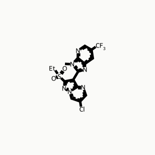 CCS(=O)(=O)c1nn2cc(Cl)cnc2c1-c1nc2cc(C(F)(F)F)cnc2n1C